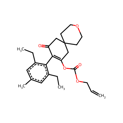 C=CCOC(=O)OC1=C(c2c(CC)cc(C)cc2CC)C(=O)CC2(CCOCC2)C1